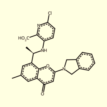 Cc1cc([C@@H](C)Nc2ccc(Cl)nc2C(=O)O)c2oc(N3Cc4ccccc4C3)cc(=O)c2c1